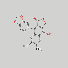 Cc1cc2c(O)c3c(c(-c4ccc5c(c4)OCO5)c2cc1C)C(=O)OC3